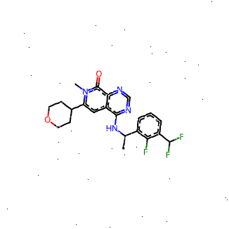 C[C@@H](Nc1ncnc2c(=O)n(C)c(C3CCOCC3)cc12)c1cccc(C(F)F)c1F